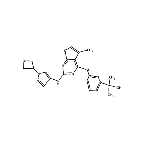 Cc1csc2nc(Nc3cnn(C4COC4)c3)nc(Nc3cccc(C(C)(C)O)n3)c12